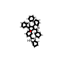 c1ccc(C2Nc3ccccc3N2c2cccc(-c3nc4ccccc4c4c3ccc3c5ccccc5n(-c5ccccc5)c34)c2)cc1